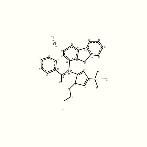 CCCCC1C=C(C(C)(C)C)C=[C]1/[Zr+2](=[C](\C)c1ccccc1)[c]1cccc2c1Cc1ccccc1-2.[Cl-].[Cl-]